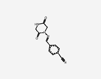 N#Cc1ccc(C=NN2CC(=O)NCC2=O)cc1